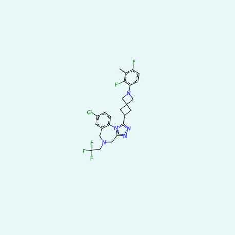 Cc1c(F)ccc(N2CC3(CC(c4nnc5n4-c4ccc(Cl)cc4CN(CC(F)(F)F)C5)C3)C2)c1F